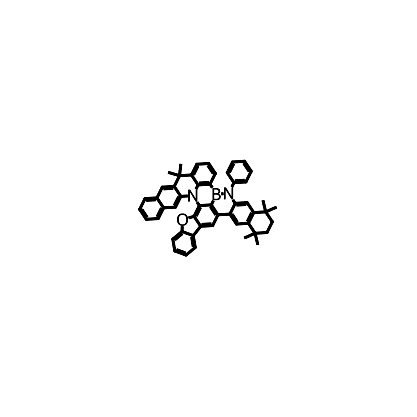 CC1(C)CCC(C)(C)c2cc3c(cc21)-c1cc2c(oc4ccccc42)c2c1B(c1cccc4c1N2c1cc2ccccc2cc1C4(C)C)N3c1ccccc1